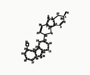 C[C@H]1C=Cc2c(sc3c2CC(c2ccc4sc5cccc(Cl)c5c4c2)C=C3)C1